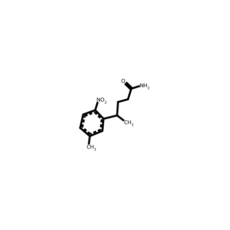 Cc1ccc([N+](=O)[O-])c(C(C)CCC(N)=O)c1